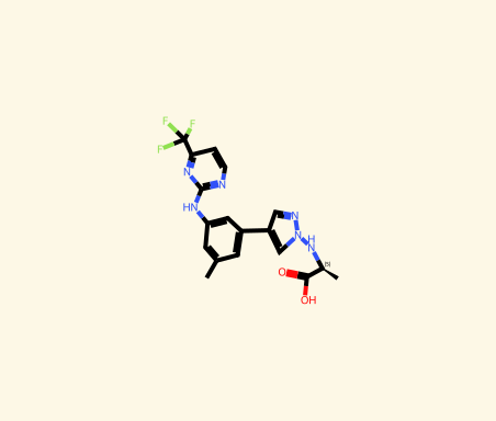 Cc1cc(Nc2nccc(C(F)(F)F)n2)cc(-c2cnn(N[C@@H](C)C(=O)O)c2)c1